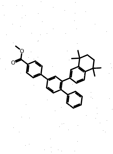 COC(=O)c1ccc(-c2ccc(-c3ccccc3)c(-c3ccc4c(c3)C(C)(C)CCC4(C)C)c2)cc1